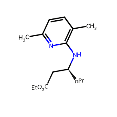 CCC[C@@H](CC(=O)OCC)Nc1nc(C)ccc1C